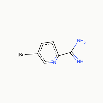 CC(C)(C)c1ccc(C(=N)N)nc1